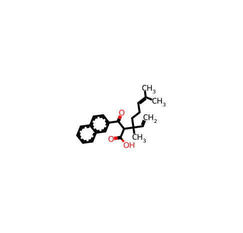 C=CC(C)(CCC=C(C)C)C(C(=O)O)C(=O)c1ccc2ccccc2c1